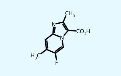 Cc1cc2nc(C)c(C(=O)O)n2cc1F